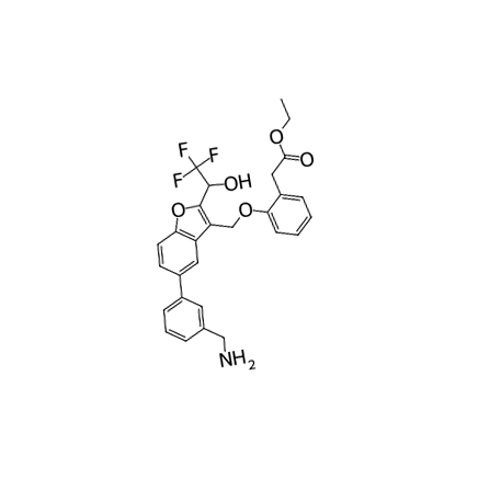 CCOC(=O)Cc1ccccc1OCc1c(C(O)C(F)(F)F)oc2ccc(-c3cccc(CN)c3)cc12